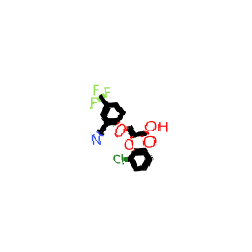 N#Cc1cc(C(F)(F)F)ccc1OCC(Oc1ccccc1Cl)C(=O)O